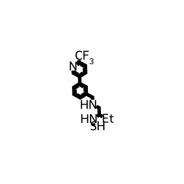 CCC(CNCc1cccc(-c2ccc(C(F)(F)F)nc2)c1)NS